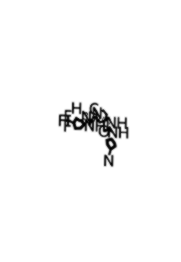 CN1CC[C@@H](NC(=O)Nc2ccc(C#N)cc2)C[C@@H]1c1nc2cc(C(F)(F)F)ccc2[nH]1